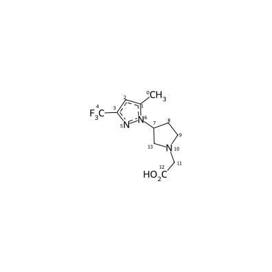 Cc1cc(C(F)(F)F)nn1C1CCN(CC(=O)O)C1